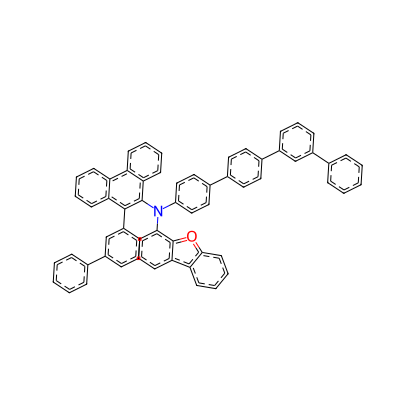 c1ccc(-c2cccc(-c3ccc(-c4ccc(N(c5c(-c6cccc(-c7ccccc7)c6)c6ccccc6c6ccccc56)c5cccc6c5oc5ccccc56)cc4)cc3)c2)cc1